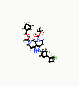 CC(C)(C)OC(=O)N1CCc2c3c(nn2-c2ccc(C4CCC4(F)F)cc2)CCN(C(=O)OCc2ccccc2)CC31